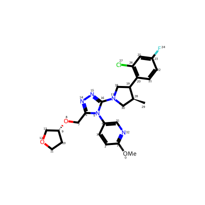 COc1ccc(-n2c(CO[C@@H]3CCOC3)nnc2N2CC(c3ccc(F)cc3Cl)[C@@H](C)C2)cn1